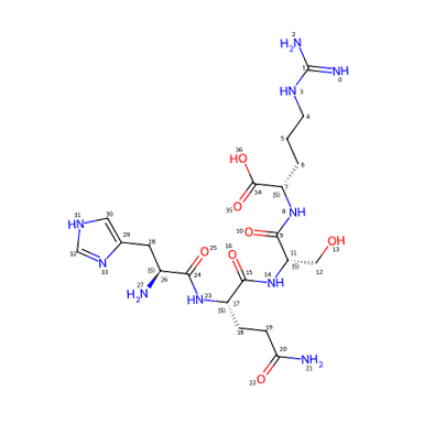 N=C(N)NCCC[C@H](NC(=O)[C@H](CO)NC(=O)[C@H](CCC(N)=O)NC(=O)[C@@H](N)Cc1c[nH]cn1)C(=O)O